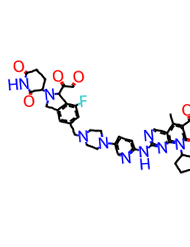 CC(=O)c1c(C)c2cnc(Nc3ccc(N4CCN(Cc5cc(F)c6c(c5)CN(C5CCC(=O)NC5=O)C6C(=O)C=O)CC4)cn3)nc2n(C2CCCC2)c1=O